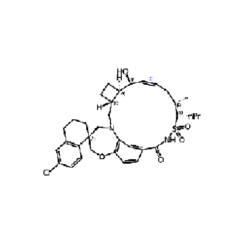 CCC[C@H]1[C@@H](C)C/C=C\[C@H](O)[C@@H]2CC[C@H]2CN2C[C@@]3(CCCc4cc(Cl)ccc43)COc3ccc(cc32)C(=O)NS1(=O)=O